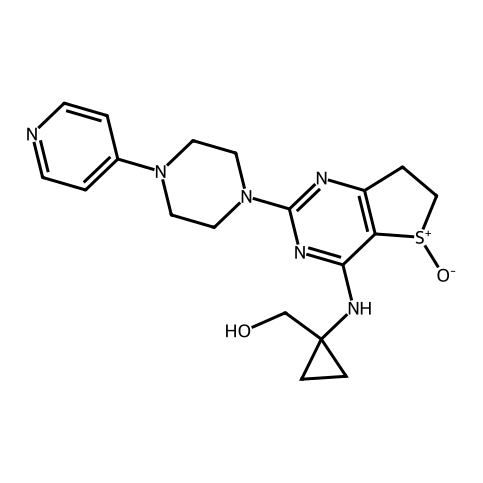 [O-][S+]1CCc2nc(N3CCN(c4ccncc4)CC3)nc(NC3(CO)CC3)c21